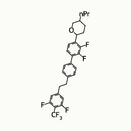 CCCC1CCC(c2ccc(-c3ccc(CCc4cc(F)c(C(F)(F)F)c(F)c4)cc3)c(F)c2F)OC1